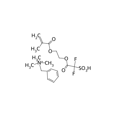 C=C(C)C(=O)OCCOC(=O)C(F)(F)S(=O)(=O)O.C[N+](C)(C)Cc1ccccc1